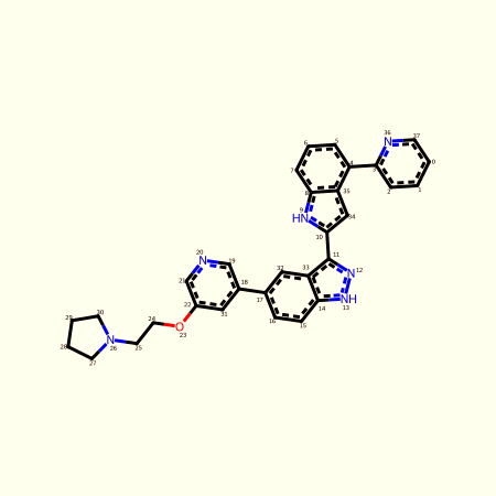 c1ccc(-c2cccc3[nH]c(-c4n[nH]c5ccc(-c6cncc(OCCN7CCCC7)c6)cc45)cc23)nc1